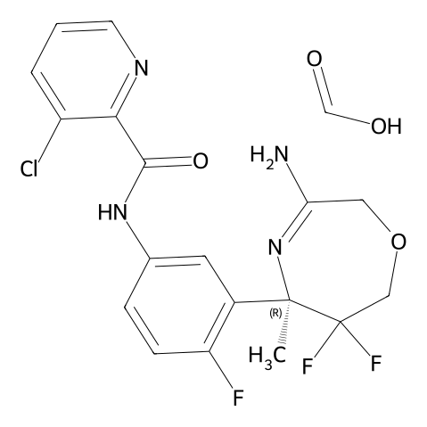 C[C@]1(c2cc(NC(=O)c3ncccc3Cl)ccc2F)N=C(N)COCC1(F)F.O=CO